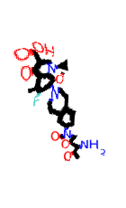 COc1c(N2CCc3ccc(N4CC(C(N)C(C)=O)OC4=O)cc3CC2)c(F)c(C)c2c(=O)c(C(=O)O)cn(C3CC3)c12